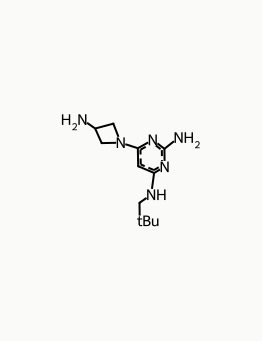 CC(C)(C)CNc1cc(N2CC(N)C2)nc(N)n1